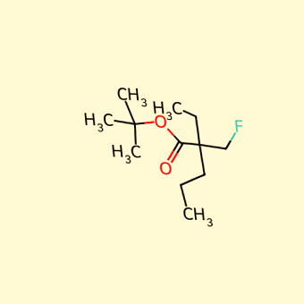 CCCC(CC)(CF)C(=O)OC(C)(C)C